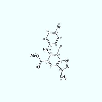 COC(=O)c1cc2c(ncn2C)c(F)c1Nc1ccc(Br)cc1